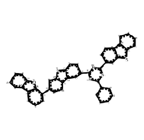 c1ccc(-c2nc(-c3ccc4c(c3)sc3ccccc34)nc(-c3ccc4sc5cc(-c6cccc7c6oc6ccccc67)ccc5c4c3)n2)cc1